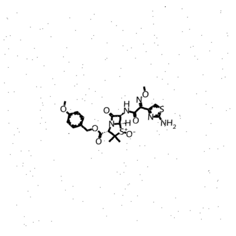 CON=C(C(=O)N[C@@H]1C(=O)N2[C@@H]1[S+]([O-])C(C)(C)[C@@H]2C(=O)OCc1ccc(OC)cc1)c1csc(N)n1